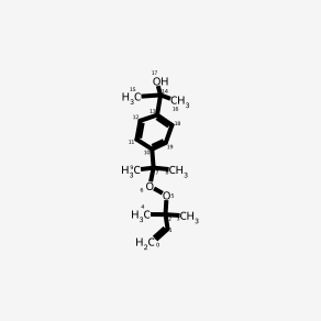 C=CC(C)(C)OOC(C)(C)c1ccc(C(C)(C)O)cc1